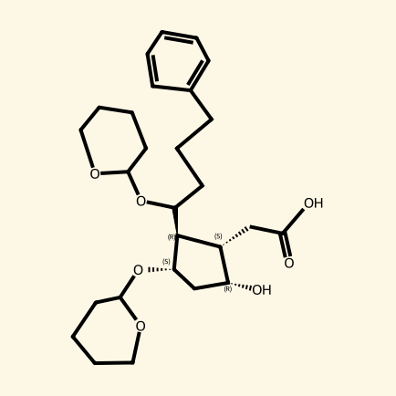 O=C(O)C[C@H]1[C@H](C(CCCc2ccccc2)OC2CCCCO2)[C@@H](OC2CCCCO2)C[C@H]1O